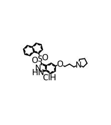 Cl.O=S(=O)(c1cccc2ccccc12)c1n[nH]c2ccc(OCCCN3CCCC3)cc12